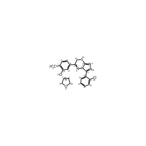 Cc1ccc(C2=Nn3c(nnc3-c3ccccc3Cl)SC2)cc1O[C@@H]1CCOC1